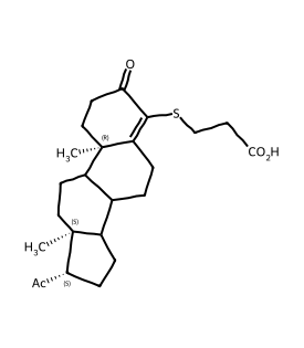 CC(=O)[C@H]1CCC2C3CCC4=C(SCCC(=O)O)C(=O)CC[C@]4(C)C3CC[C@@]21C